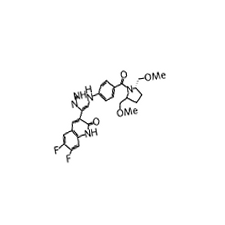 COCC1CC[C@@H](COC)N1C(=O)c1ccc(N/C=C(\N=N)c2cc3cc(F)c(F)cc3[nH]c2=O)cc1